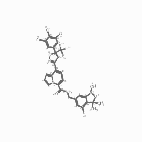 CC1(C)OB(O)c2cc(CNC(=O)c3ccc(C4=NOC(c5cc(Cl)c(Cl)c(Cl)c5)(C(F)(F)F)C4)c4cccn34)cc(F)c21